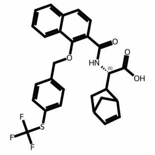 O=C(N[C@H](C(=O)O)C1CC2C=CC1C2)c1ccc2ccccc2c1OCc1ccc(SC(F)(F)F)cc1